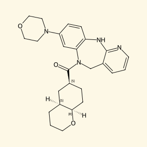 O=C([C@H]1CC[C@H]2OCCC[C@H]2C1)N1Cc2cccnc2Nc2ccc(N3CCOCC3)cc21